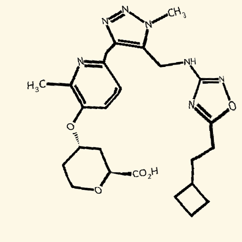 Cc1nc(-c2nnn(C)c2CNc2noc(CCC3CCC3)n2)ccc1O[C@H]1CCO[C@H](C(=O)O)C1